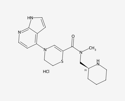 CN(C[C@@H]1CCCCN1)C(=O)C1=CN(c2ccnc3[nH]ccc23)CCS1.Cl